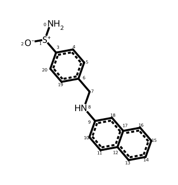 N[S+]([O-])c1ccc(CNc2ccc3ccccc3c2)cc1